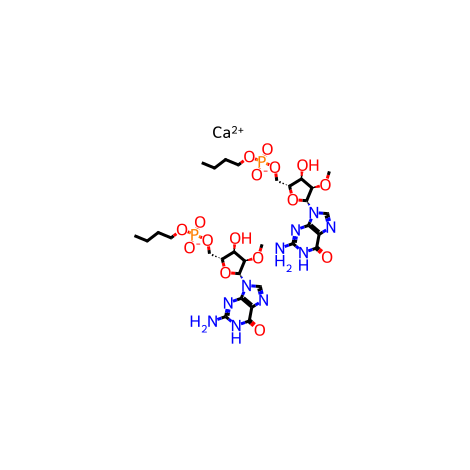 CCCCOP(=O)([O-])OC[C@H]1O[C@@H](n2cnc3c(=O)[nH]c(N)nc32)[C@H](OC)[C@@H]1O.CCCCOP(=O)([O-])OC[C@H]1O[C@@H](n2cnc3c(=O)[nH]c(N)nc32)[C@H](OC)[C@@H]1O.[Ca+2]